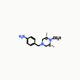 C[C@@H]1CN(Cc2ccc(N)cc2)C[C@H](C)N1C(=O)O